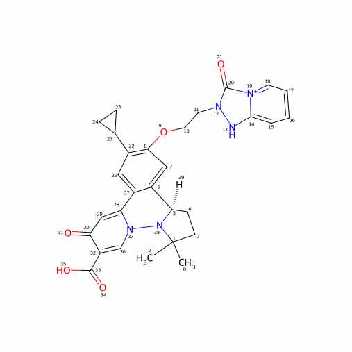 CC1(C)CC[C@@H]2c3cc(OCCn4[nH]c5cccc[n+]5c4=O)c(C4CC4)cc3-c3cc(=O)c(C(=O)O)cn3N21